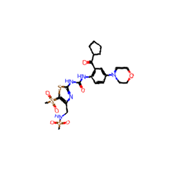 CS(=O)(=O)NCc1nc(NC(=O)Nc2ccc(N3CCOCC3)cc2C(=O)C2CCCC2)sc1S(C)(=O)=O